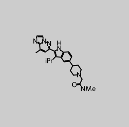 CNC(=O)CN1CCC(c2ccc3[nH]c(-c4cc(C)c5nccn5n4)c(C(C)C)c3c2)CC1